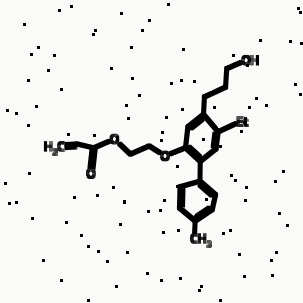 C=CC(=O)OCCOc1cc(CCCO)c(CC)cc1-c1ccc(C)cc1